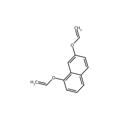 C=COc1ccc2cccc(OC=C)c2c1